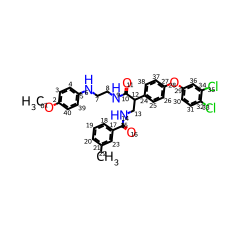 COc1ccc(NCCNC(=O)C(CNC(=O)c2cccc(C)c2)c2ccc(Oc3ccc(Cl)c(Cl)c3)cc2)cc1